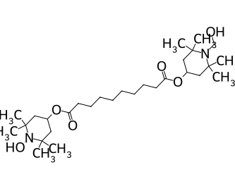 CC1(C)CC(OC(=O)CCCCCCCCC(=O)OC2CC(C)(C)N(CO)C(C)(C)C2)CC(C)(C)N1O